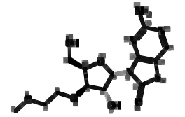 COCCO[C@@H]1[C@@H](O)[C@@H](n2c(=O)sc3cnc(N)nc32)O[C@@H]1CO